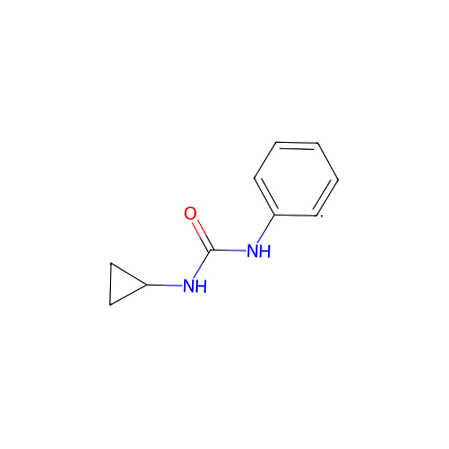 O=C(Nc1[c]cccc1)NC1CC1